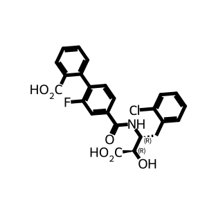 O=C(N[C@H](Cc1ccccc1Cl)[C@@H](O)C(=O)O)c1ccc(-c2ccccc2C(=O)O)c(F)c1